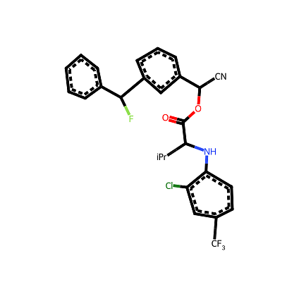 CC(C)C(Nc1ccc(C(F)(F)F)cc1Cl)C(=O)OC(C#N)c1cccc(C(F)c2ccccc2)c1